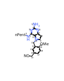 CCCCCNc1nc(N)nc2ccn(Cc3cc(CC#N)ccc3OC)c12